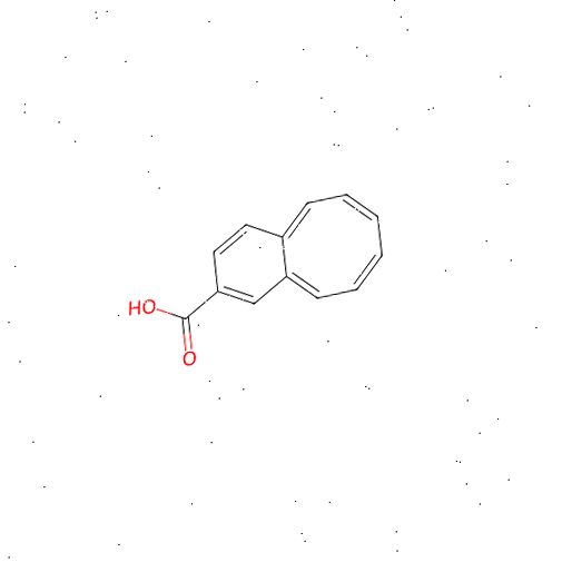 O=C(O)c1ccc2/c(c1)=C\C=C/C=C\C=2